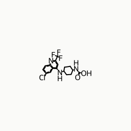 O=C(O)NC1CCC(Nc2cc(C(F)(F)F)nc3ccc(Cl)cc23)CC1